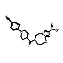 N#Cc1ccc(N2CCC(C(=O)N3CCOc4nc([N+](=O)[O-])cn4CC3)CC2)cc1